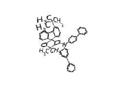 CC(C)(C)c1cccc2c1-c1ccccc1C21c2ccccc2C(C)(C)c2cc(N(c3ccc(-c4ccccc4)cc3)c3ccc(-c4ccccc4)cc3)ccc21